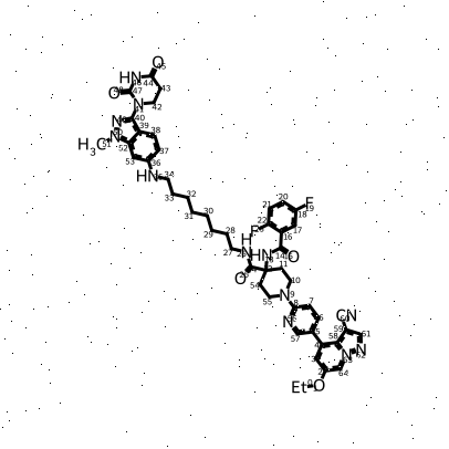 CCOc1cc(-c2ccc(N3CCC(NC(=O)c4cc(F)ccc4F)(C(=O)NCCCCCCCCNc4ccc5c(N6CCC(=O)NC6=O)nn(C)c5c4)CC3)nc2)c2c(C#N)cnn2c1